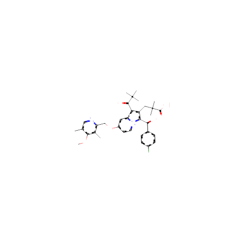 COc1c(C)cnc(COc2ccn3c(C(=O)c4ccc(Cl)cc4)c(CC(C)(C)C(=O)O)c(C(=O)C(C)(C)C)c3c2)c1C